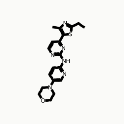 CCc1nc(C)c(-c2ccnc(Nc3ccc(N4CCOCC4)cn3)n2)s1